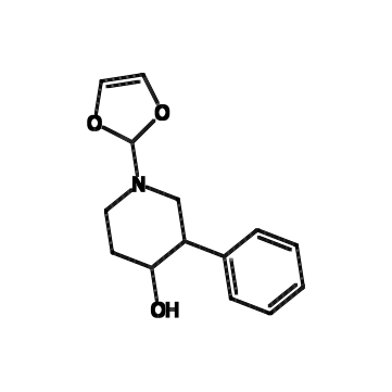 OC1CCN(C2OC=CO2)CC1c1ccccc1